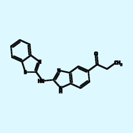 CCC(=O)c1ccc2[nH]c(Nc3nc4ccccc4s3)nc2c1